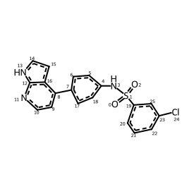 O=S(=O)(Nc1ccc(-c2ccnc3[nH]ccc23)cc1)c1cccc(Cl)c1